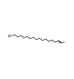 [CH2]/C=C/CCCCCCCCCCCCCCC(C)C